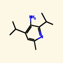 Cc1cc(C(C)C)c(N)c(C(C)C)n1